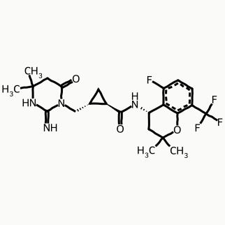 CC1(C)CC(=O)N(C[C@@H]2C[C@H]2C(=O)N[C@H]2CC(C)(C)Oc3c(C(F)(F)F)ccc(F)c32)C(=N)N1